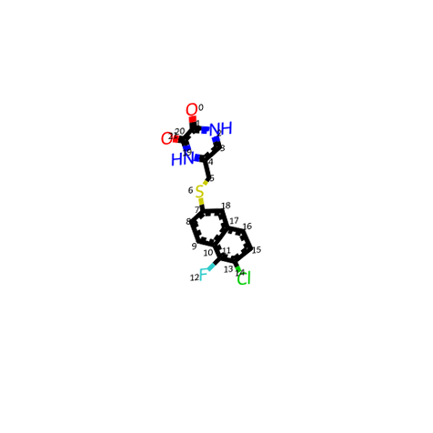 O=c1[nH]cc(CSc2ccc3c(F)c(Cl)ccc3c2)[nH]c1=O